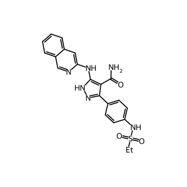 CCS(=O)(=O)Nc1ccc(-c2n[nH]c(Nc3cc4ccccc4cn3)c2C(N)=O)cc1